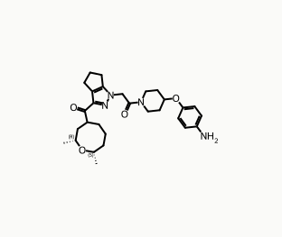 C[C@@H]1CC(C(=O)c2nn(CC(=O)N3CCC(Oc4ccc(N)cc4)CC3)c3c2CCC3)CCC[C@H](C)O1